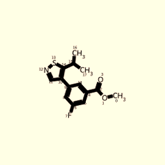 COC(=O)c1cc(F)cc(-c2cnsc2C(C)C)c1